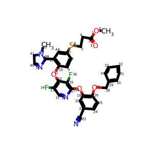 COC(=O)CCSc1ccc(Oc2c(F)cnc(Oc3cc(C#N)ccc3OCc3ccccc3)c2F)c(C2N=CCN2C)c1